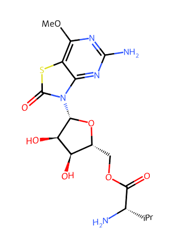 COc1nc(N)nc2c1sc(=O)n2[C@@H]1O[C@H](COC(=O)[C@@H](N)C(C)C)[C@@H](O)[C@H]1O